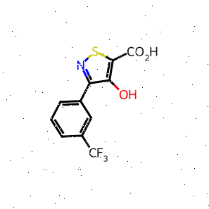 O=C(O)c1snc(-c2cccc(C(F)(F)F)c2)c1O